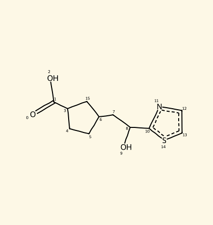 O=C(O)C1CCC(CC(O)c2nccs2)C1